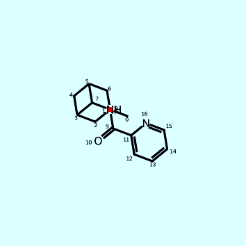 CN1CC2CC(C1)C2NC(=O)c1ccccn1